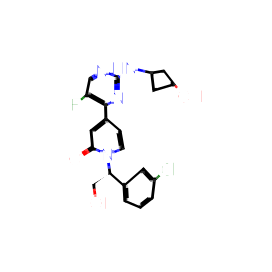 O=c1cc(-c2nc(NC3CC(O)C3)ncc2F)ccn1[C@H](CO)c1cccc(Cl)c1